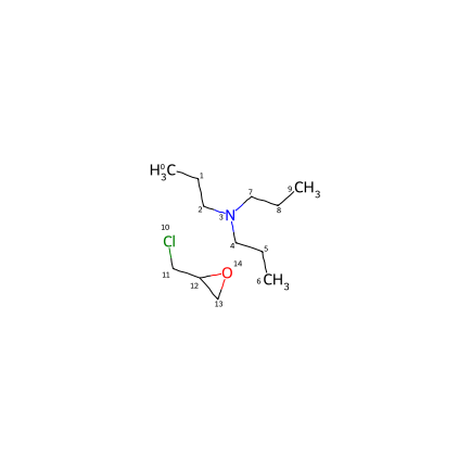 CCCN(CCC)CCC.ClCC1CO1